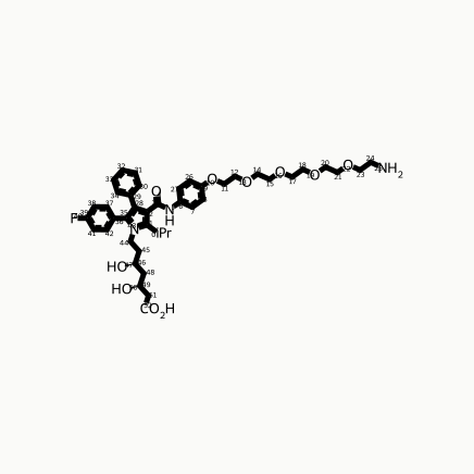 CC(C)c1c(C(=O)Nc2ccc(OCCOCCOCCOCCOCCN)cc2)c(-c2ccccc2)c(-c2ccc(F)cc2)n1CC[C@@H](O)C[C@@H](O)CC(=O)O